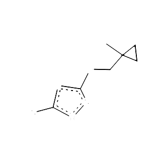 Nc1nnc(OCC2(F)CC2)s1